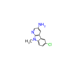 Cn1c2ccc(Cl)cc2c2cc(N)cnc21